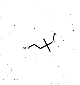 CC(=O)OCCC(C)(C)OC(C)C